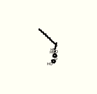 CCCCCCCCCCCCCCCCC(C)OCCNC(=O)Nc1ccc(Oc2ccc(O)cc2)cc1